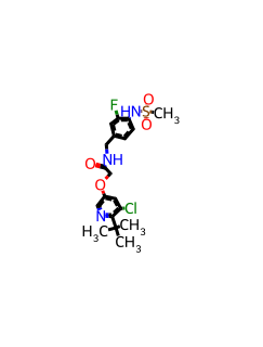 CC(C)(C)c1ncc(OCC(=O)NCc2ccc(NS(C)(=O)=O)c(F)c2)cc1Cl